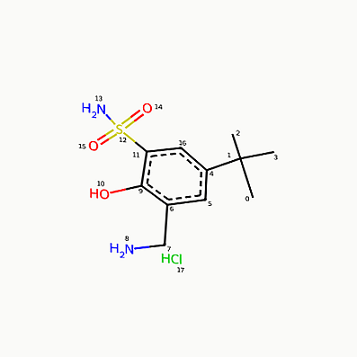 CC(C)(C)c1cc(CN)c(O)c(S(N)(=O)=O)c1.Cl